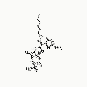 CCCCCCON=C(C(=O)NC1C(=O)N2C=C(C(=O)O)C(C)S[C@H]12)c1csc(N)n1